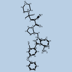 CC(C)(/C=C(\C#N)C(=O)N1CCCC1Cn1nc(-c2ccc(Oc3ccccc3)cc2F)c2c(N)ncnc21)N1CCOCC1